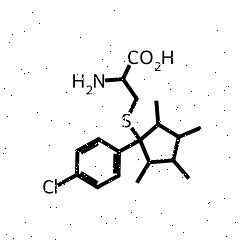 CC1C(C)C(C)C(SCC(N)C(=O)O)(c2ccc(Cl)cc2)C1C